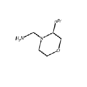 CCCC1COCCN1CN